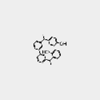 CC(c1ccc(O)cc1)c1cccc(-c2cccc(C(C)c3ccccc3O)c2)c1